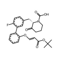 CC(C)(C)OC(=O)/C=C/Oc1ccccc1-c1cc(C[C@H]2C(=O)CCCN2C(=O)O)ccc1F